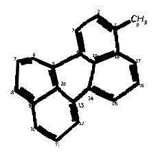 Cc1ccc2c3cccc4cccc(c5cccc1c52)c43